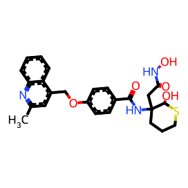 Cc1cc(COc2ccc(C(=O)NC3(CC(=O)NO)CCCSC3O)cc2)c2ccccc2n1